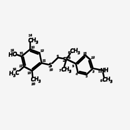 CNc1ccc([Si](C)(C)CSc2cc(C)c(O)c(C)c2C)cc1